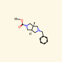 CC(C)(C)OC(=O)N1C[C@@H]2CN(Cc3ccccc3)C[C@@]2(C)C1